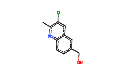 Cc1nc2ccc(CO)cc2cc1Cl